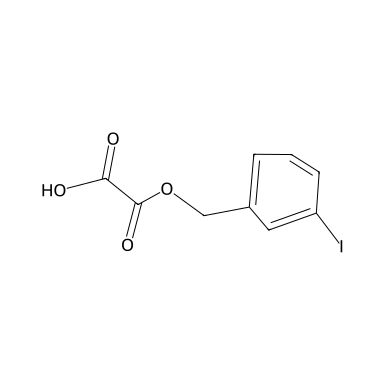 O=C(O)C(=O)OCc1cccc(I)c1